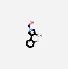 N#Cc1cn(CO)cc1-c1ccccc1Cl